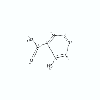 O=C(O)c1ncnnc1S